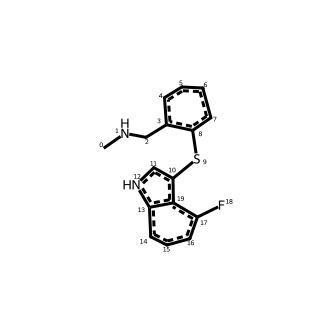 CNCc1ccccc1Sc1c[nH]c2cccc(F)c12